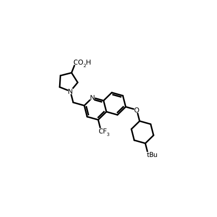 CC(C)(C)C1CCC(Oc2ccc3nc(CN4CCC(C(=O)O)C4)cc(C(F)(F)F)c3c2)CC1